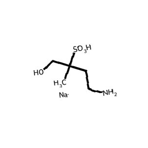 CC(CO)(CCN)S(=O)(=O)O.[Na]